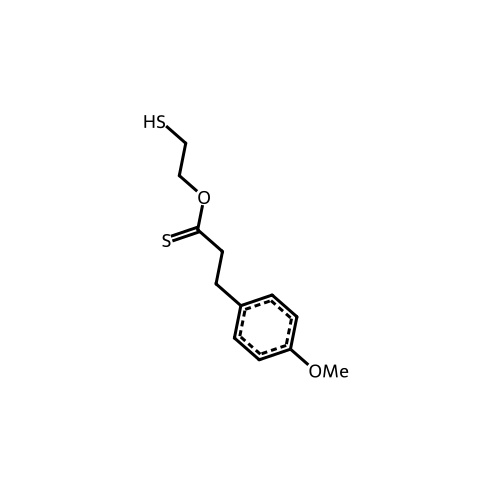 COc1ccc(CCC(=S)OCCS)cc1